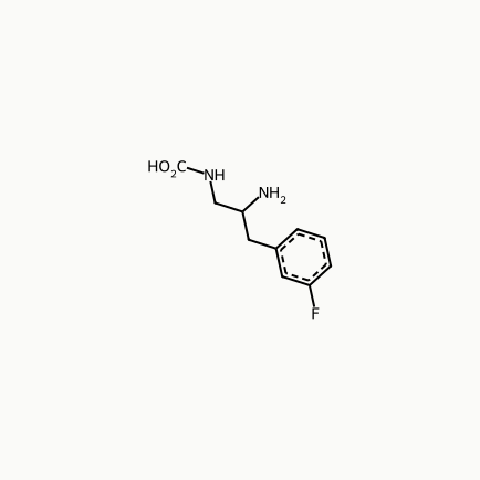 NC(CNC(=O)O)Cc1cccc(F)c1